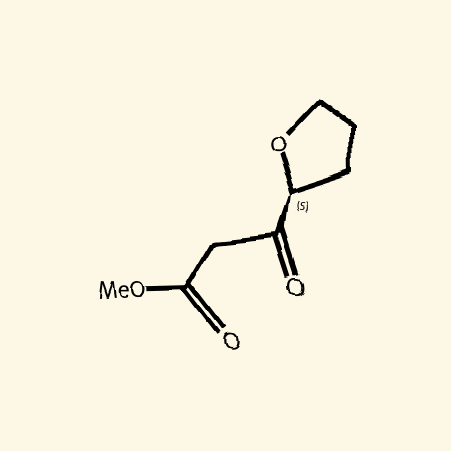 COC(=O)CC(=O)[C@@H]1CCCO1